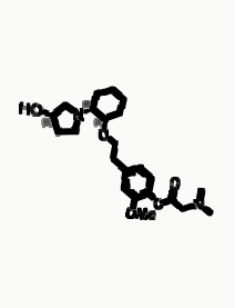 COc1cc(CCO[C@@H]2CCCC[C@H]2N2CC[C@@H](O)C2)ccc1OC(=O)CN(C)C